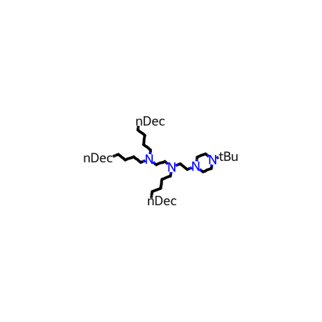 CCCCCCCCCCCCCCN(CCCCCCCCCCCCCC)CCN(CCCCCCCCCCCCCC)CCN1CCN(C(C)(C)C)CC1